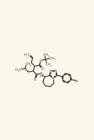 C=CCC(C(=O)OC(C)(C)C)C(CC(C)C)C(=O)NC1CCCCn2c(-c3ccc(Br)cc3)nnc21